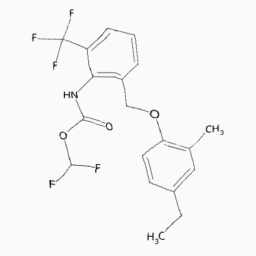 CCc1ccc(OCc2cccc(C(F)(F)F)c2NC(=O)OC(F)F)c(C)c1